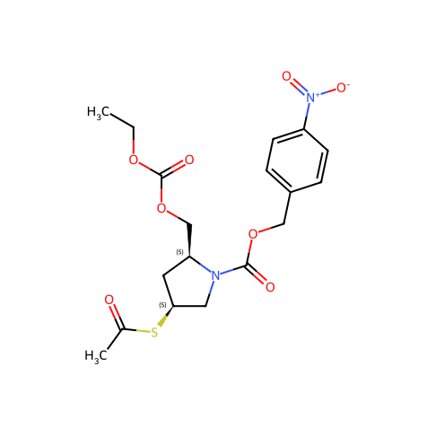 CCOC(=O)OC[C@@H]1C[C@H](SC(C)=O)CN1C(=O)OCc1ccc([N+](=O)[O-])cc1